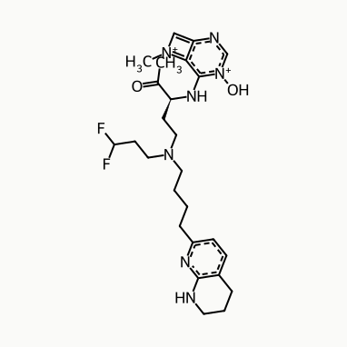 CC(=O)[C@H](CCN(CCCCc1ccc2c(n1)NCCC2)CCC(F)F)Nc1c2c(nc[n+]1O)=C[N+]=2C